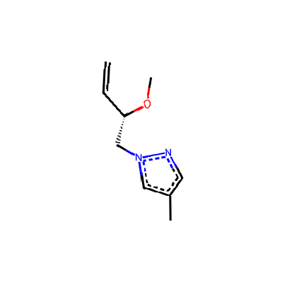 C=C[C@@H](Cn1cc(C)cn1)OC